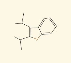 CC(C)c1sc2ccccc2c1C(C)C